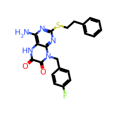 Nc1nc(SCCc2ccccc2)nc2c1[nH]c(=O)c(=O)n2Cc1ccc(F)cc1